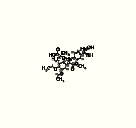 CCOc1cc(OC(C)(C)C(=O)O)c(C(Nc2ccc(C(=N)NO)cc2)C(=O)OC)cc1OCC